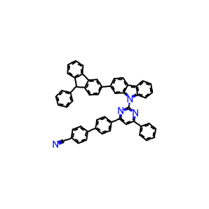 N#Cc1ccc(-c2ccc(-c3cc(-c4ccccc4)nc(-n4c5ccccc5c5ccc(-c6ccc7c(c6)-c6ccccc6C7c6ccccc6)cc54)n3)cc2)cc1